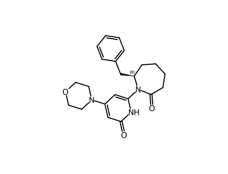 O=C1CCCC[C@H](Cc2ccccc2)N1c1cc(N2CCOCC2)cc(=O)[nH]1